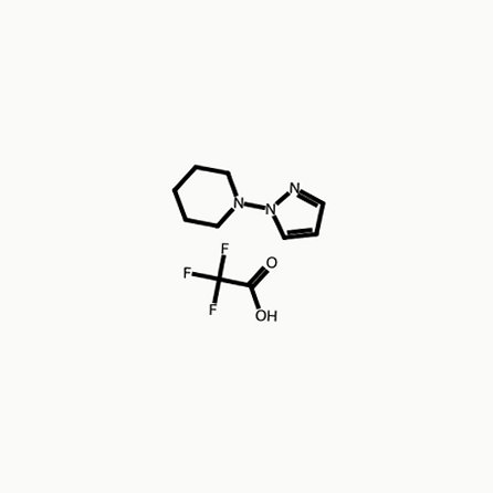 O=C(O)C(F)(F)F.c1cnn(N2CCCCC2)c1